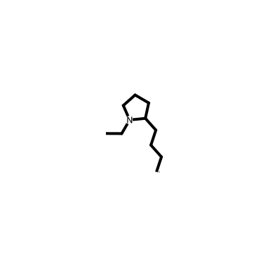 [CH2]CCCC1CCCN1CC